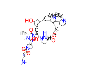 CCn1c(-c2cccnc2[C@H](C)OC)c2c3cc(ccc31)-c1cc(O)cc(c1)C[C@H](NC(=O)C(C(C)C)N(C)C(=O)[C@H]1CCN(S(=O)(=O)/C=C/CN(C)C)C1)C(=O)N1CCC[C@H](N1)C(=O)OCC(C)(C)C2